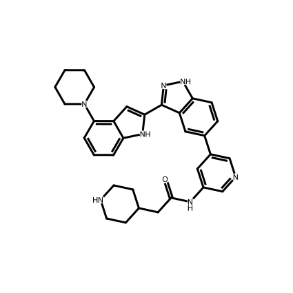 O=C(CC1CCNCC1)Nc1cncc(-c2ccc3[nH]nc(-c4cc5c(N6CCCCC6)cccc5[nH]4)c3c2)c1